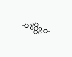 Cc1ccc(C(=O)Oc2c3ccccc3c(OC(=O)c3ccc(C)cc3)c3ccccc23)cc1